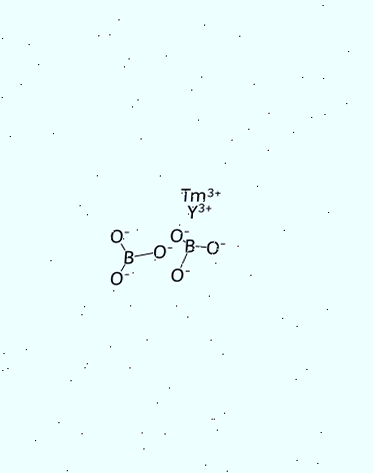 [O-]B([O-])[O-].[O-]B([O-])[O-].[Tm+3].[Y+3]